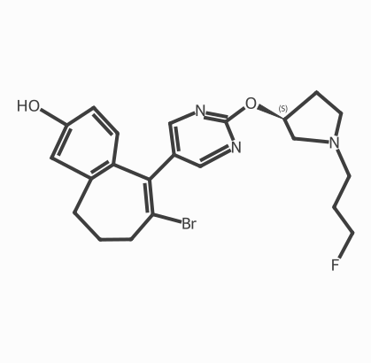 Oc1ccc2c(c1)CCCC(Br)=C2c1cnc(O[C@H]2CCN(CCCF)C2)nc1